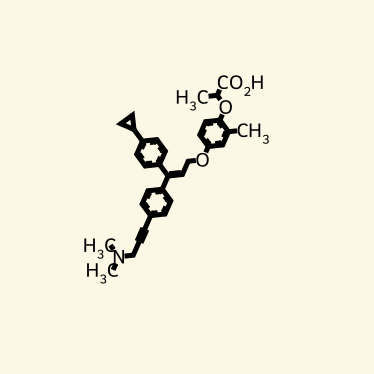 Cc1cc(OCC=C(c2ccc(C#CCN(C)C)cc2)c2ccc(C3CC3)cc2)ccc1OC(C)C(=O)O